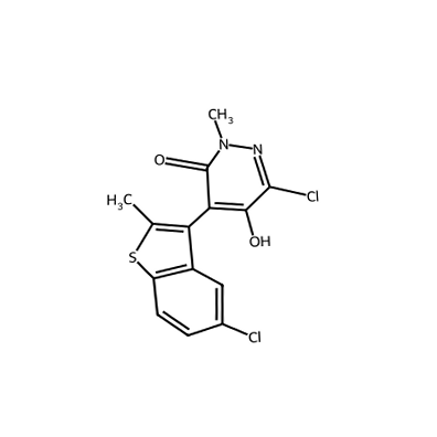 Cc1sc2ccc(Cl)cc2c1-c1c(O)c(Cl)nn(C)c1=O